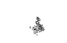 C[C@H](NC(=O)c1ccc2c(n1)N(C(=O)Nc1cc(-c3cnco3)ccn1)[C@H]1CCN2C1)C(F)(F)F